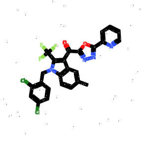 Cc1ccc2c(c1)c(C(=O)c1nnc(-c3ccccn3)o1)c(C(F)(F)F)n2Cc1ccc(Cl)cc1Cl